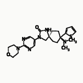 CN(C)[C@]1(c2cccs2)CC[C@]2(CC1)CN(c1cnc(N3CCOCC3)nc1)C(=O)N2